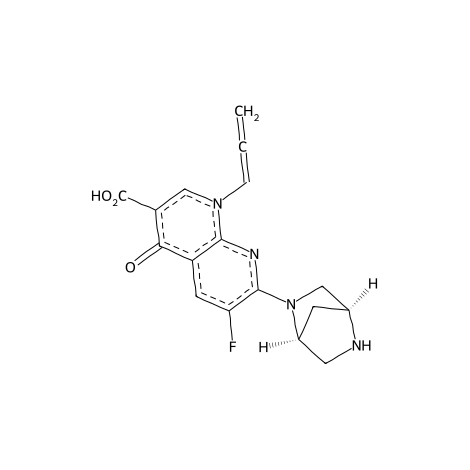 C=C=Cn1cc(C(=O)O)c(=O)c2cc(F)c(N3C[C@@H]4C[C@H]3CN4)nc21